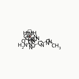 CCn1ccc(-c2ccc(-c3cnn4c(N)c(C(C)=O)c(C5C[C@H]6CC[C@@H](C5)N6C(=O)c5nnc[nH]5)nc34)cn2)n1